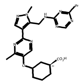 Cc1nc(-c2cnn(C)c2CNc2ncnc(C(C)C)n2)ncc1OC1CCC[C@H](C(=O)O)C1